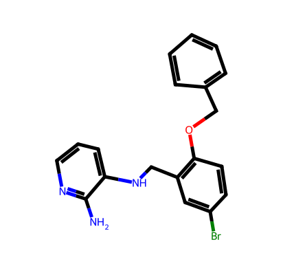 Nc1ncccc1NCc1cc(Br)ccc1OCc1ccccc1